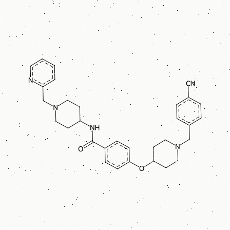 N#Cc1ccc(CN2CCC(Oc3ccc(C(=O)NC4CCN(Cc5ccccn5)CC4)cc3)CC2)cc1